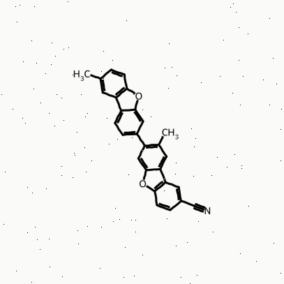 Cc1ccc2oc3cc(-c4cc5oc6ccc(C#N)cc6c5cc4C)ccc3c2c1